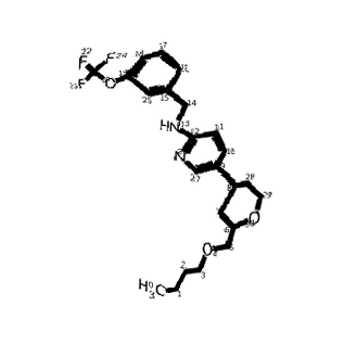 CCCCOCC1CC(c2ccc(NCc3cccc(OC(F)(F)F)c3)nc2)CCO1